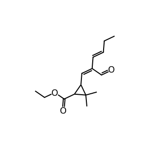 CCC=CC(C=O)=CC1C(C(=O)OCC)C1(C)C